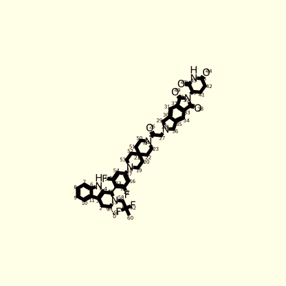 C[C@@H]1Cc2c([nH]c3ccccc23)[C@@H](c2c(F)cc(N3CCC4(CCN(C(=O)CN5Cc6cc7c(cc6C5)C(=O)N(C5CCC(=O)NC5=O)C7=O)CC4)CC3)cc2F)N1CC(C)(F)F